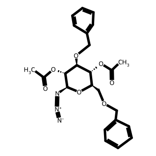 CC(=O)O[C@@H]1[C@@H](OCc2ccccc2)[C@H](OC(C)=O)[C@@H](COCc2ccccc2)O[C@H]1N=[N+]=[N-]